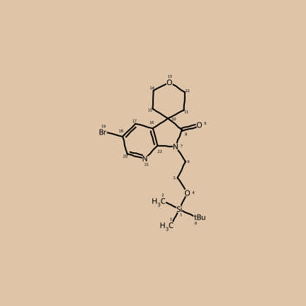 CC(C)(C)[Si](C)(C)OCCN1C(=O)C2(CCOCC2)c2cc(Br)cnc21